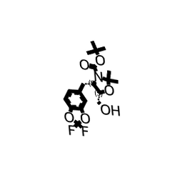 CC(C)(C)OC(=O)N1[C@@H](Cc2ccc3c(c2)OC(F)(F)O3)[C@@H](CO)OC1(C)C